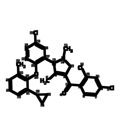 CC1=C(C(=O)c2ccc(Cl)cc2Cl)[CH]N(C)N1c1cc(Cl)nnc1Oc1c(C)cccc1C1CC1